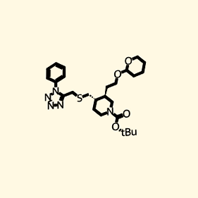 CC(C)(C)OC(=O)N1CC[C@H](CSCc2nnnn2-c2ccccc2)[C@@H](CCOC2CCCCO2)C1